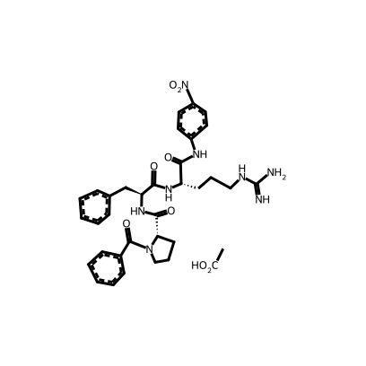 CC(=O)O.N=C(N)NCCC[C@H](NC(=O)[C@H](Cc1ccccc1)NC(=O)[C@@H]1CCCN1C(=O)c1ccccc1)C(=O)Nc1ccc([N+](=O)[O-])cc1